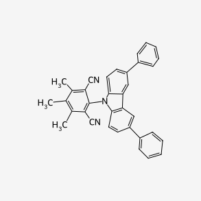 Cc1c(C)c(C#N)c(-n2c3ccc(-c4ccccc4)cc3c3cc(-c4ccccc4)ccc32)c(C#N)c1C